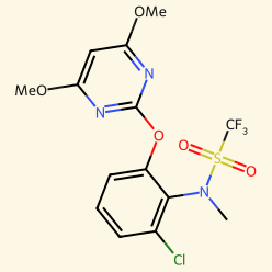 COc1cc(OC)nc(Oc2cccc(Cl)c2N(C)S(=O)(=O)C(F)(F)F)n1